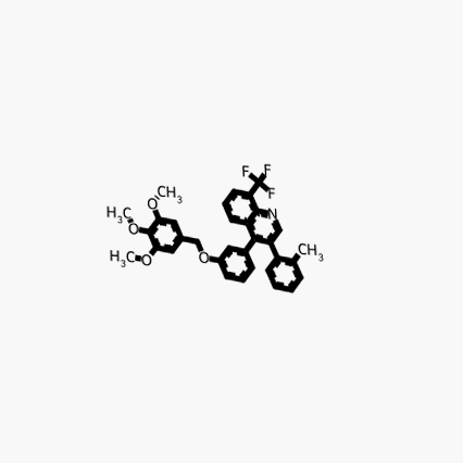 COc1cc(COc2cccc(-c3c(-c4ccccc4C)cnc4c(C(F)(F)F)cccc34)c2)cc(OC)c1OC